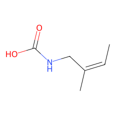 CC=C(C)CNC(=O)O